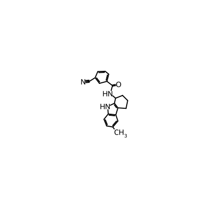 Cc1ccc2[nH]c3c(c2c1)CCCC3NC(=O)c1cccc(C#N)c1